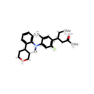 CCN(c1ccccc1C1CCOCC1)c1cc(F)c(C(COC)CC(=O)OC)cc1[N+](=O)[O-]